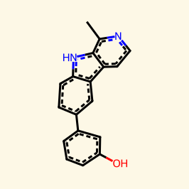 Cc1nccc2c1[nH]c1ccc(-c3cccc(O)c3)cc12